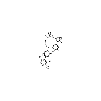 CC1CCCC(n2cnc(-c3c(F)ccc(Cl)c3F)cc2=O)c2cc(F)cc(c2)-c2c(cnn2C)NC1=O